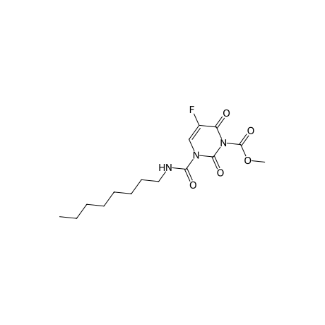 CCCCCCCCNC(=O)n1cc(F)c(=O)n(C(=O)OC)c1=O